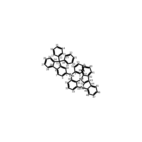 c1ccc(N(c2ccc3c(c2)C(c2ccccc2)(c2ccccc2)c2ccccc2-3)c2cccc3c2n2c4ccccc4c4c5ccccc5n3c42)cc1